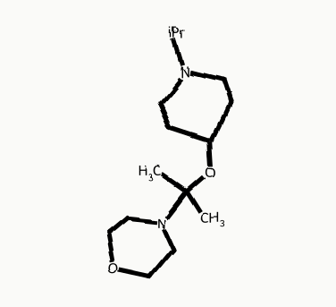 CC(C)N1CCC(OC(C)(C)N2CCOCC2)CC1